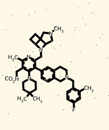 Cc1cc(F)ccc1CN1CCc2cc(-c3c(CN4C5CCC56CN(C)CC46)nc(C)c(CC(=O)O)c3N3CCC(C)(C)CC3)ccc2C1